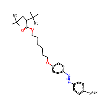 CCCCCCc1ccc(/N=N/c2ccc(OCCCCCCOC(=O)C(CC(C)(C)CC)C(C)(C)CC)cc2)cc1